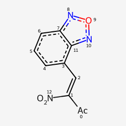 CC(=O)C(=Cc1cccc2nonc12)[N+](=O)[O-]